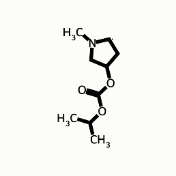 CC(C)OC(=O)OC1C[CH]N(C)C1